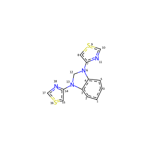 c1ccc2c(c1)N(c1cscn1)CN2c1cscn1